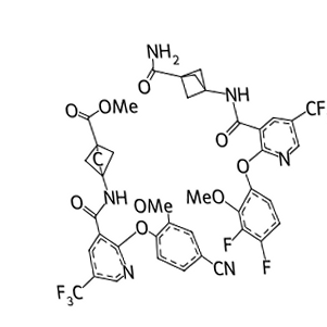 COC(=O)C12CC(NC(=O)c3cc(C(F)(F)F)cnc3Oc3ccc(C#N)cc3OC)(C1)C2.COc1c(Oc2ncc(C(F)(F)F)cc2C(=O)NC23CC(C(N)=O)(C2)C3)ccc(F)c1F